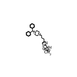 CS(=O)(=O)Nc1nc(CCCN2CCN(C(c3ccccc3)c3ccccc3)CC2)cs1